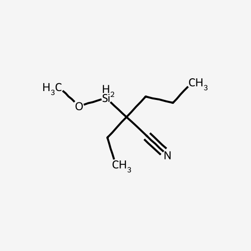 CCCC(C#N)(CC)[SiH2]OC